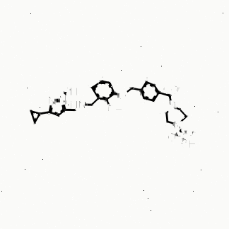 Cc1c(CNCc2cc(C3CC3)nn2C)cccc1OCc1ccc(C(=O)N2CCN(S(C)(=O)=O)CC2)cc1